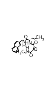 CCC[C@H](NC(=O)[C@@H]1O[C@H]1C(=O)NCC)C(=O)NCc1ccc2ccccc2c1